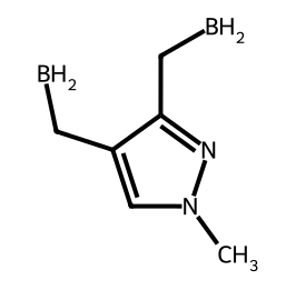 BCc1cn(C)nc1CB